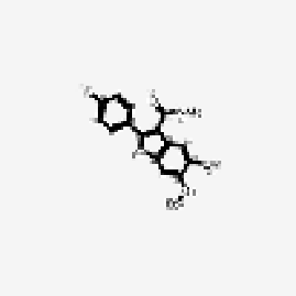 CCOc1cc2oc(-c3ccc(F)cc3)c(C(=O)NC)c2cc1O